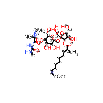 CCCCCCCC/C=C\CCCCCCC(C)C(=O)O[C@H]1[C@H](O)[C@@H](CO)O[C@@]1(CO)O[C@H]1O[C@H](CO)[C@@H](O)[C@H](O)[C@H]1O.CCNC(=O)NC(=O)/C(C#N)=N/OC